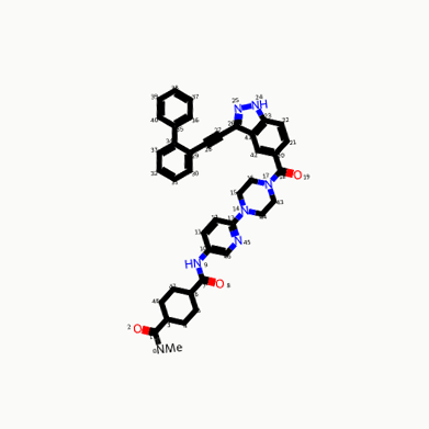 CNC(=O)C1CCC(C(=O)Nc2ccc(N3CCN(C(=O)c4ccc5[nH]nc(C#Cc6ccccc6-c6ccccc6)c5c4)CC3)nc2)CC1